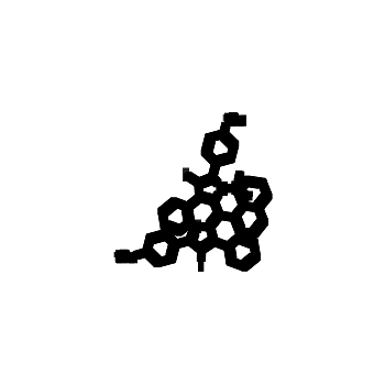 CB(F)n1c(/C(=C2\N=C(c3ccc(C(C)(C)C)cc3)C(I)=C2c2ccccc2)c2cccc3ccccc23)c(-c2ccccc2)c(I)c1-c1ccc(C(C)(C)C)cc1